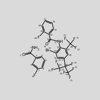 NC(=O)c1cccc(F)c1.O=C(Nc1c(Br)cc(C(F)(C(F)(F)F)C(F)(F)F)cc1C(F)(F)F)c1ccccc1F